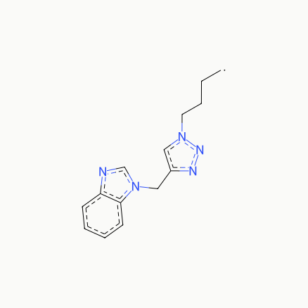 [CH2]CCCn1cc(Cn2cnc3ccccc32)nn1